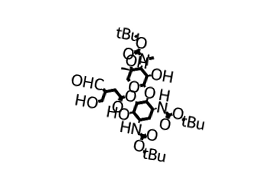 CN(C(=O)OC(C)(C)C)[C@@H]1[C@@H](O)[C@@H](O[C@@H]2[C@@H](OC(=O)CC(C=O)CO)[C@H](O)[C@@H](NC(=O)OC(C)(C)C)C[C@H]2NC(=O)OC(C)(C)C)OC[C@]1(C)O